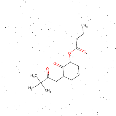 CCCC(=O)OC1CCCC(CC(=O)C(C)(C)C)C1=O